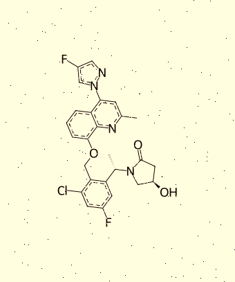 Cc1cc(-n2cc(F)cn2)c2cccc(OCc3c(Cl)cc(F)cc3[C@H](C)N3C[C@H](O)CC3=O)c2n1